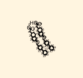 COC(=O)CC1CCc2cc(OCc3ccc(-c4ccccc4)cc3)ccc2C1.O=C(O)CC1CCc2cc(OCc3ccc(-c4ccccc4)cc3)ccc2C1